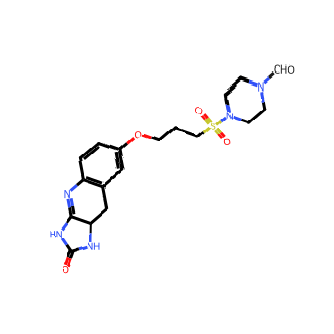 O=CN1CCN(S(=O)(=O)CCCOc2ccc3c(c2)CC2NC(=O)NC2=N3)CC1